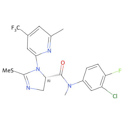 CSC1=NC[C@@H](C(=O)N(C)c2ccc(F)c(Cl)c2)N1c1cc(C(F)(F)F)cc(C)n1